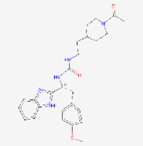 COc1ccc(C[C@@H](NC(=O)NCCC2CCN(C(C)=O)CC2)c2nc3ccccc3[nH]2)cc1